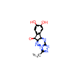 Cc1nnc2nc3c(nn12)C(=O)c1cc(O)c(O)cc1-3